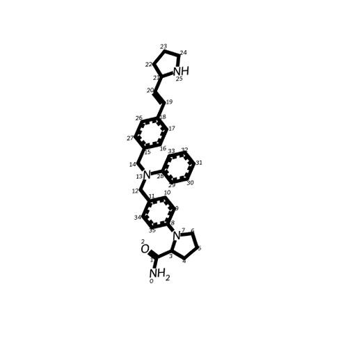 NC(=O)C1CCCN1c1ccc(CN(Cc2ccc(/C=C/C3CCCN3)cc2)c2ccccc2)cc1